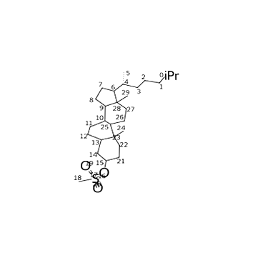 CC(C)CCC[C@@H](C)C1CCC2C3CCC4CC(OS(C)(=O)=O)CCC4(C)C3CCC21C